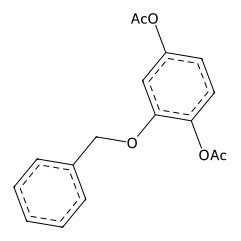 CC(=O)Oc1ccc(OC(C)=O)c(OCc2ccccc2)c1